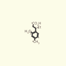 CC[C@@H](CC(=O)O)c1ccc(C)cc1C